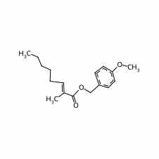 CCCCCC=C(C)C(=O)OCc1ccc(OC)cc1